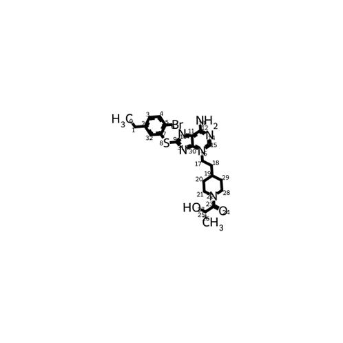 CCc1ccc(Br)c(Sc2nc3c(N)ncn(CCC4CCN(C(=O)[C@H](C)O)CC4)c-3n2)c1